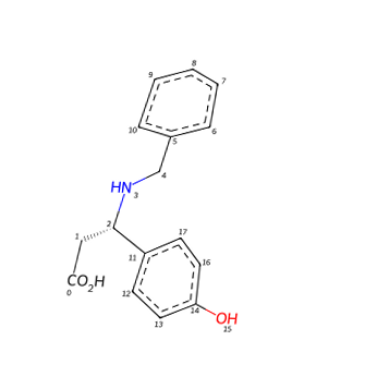 O=C(O)C[C@H](NCc1ccccc1)c1ccc(O)cc1